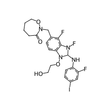 O=C1CCCCON1Cc1ccc2c(c1F)N(F)C(Nc1ccc(I)cc1F)N2OCCO